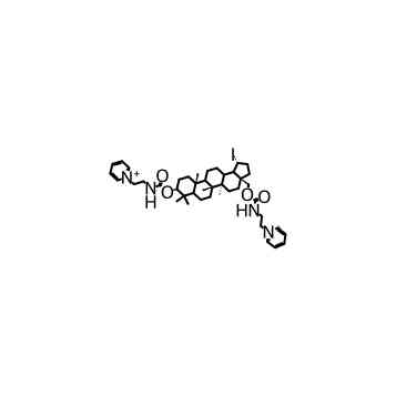 CC1(C)C2CC[C@]3(C)C(CCC4C5[C@H](I)CC[C@]5(COC(=O)NCC[n+]5ccccc5)CC[C@]43C)[C@@]2(C)CC[C@@H]1OC(=O)NCC[n+]1ccccc1